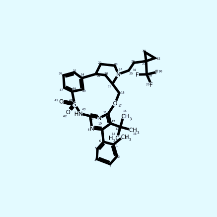 Cc1ccccc1-c1nc2nc(c1C(C)(C)C)OCC1CC(CCN1CCC1(C(F)(F)F)CC1)c1cccc(c1)S(=O)(=O)N2